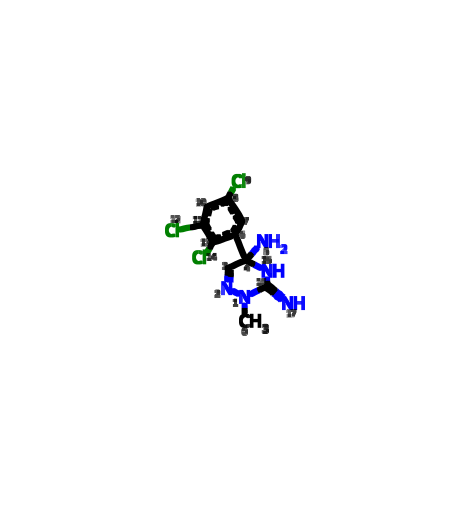 CN1N=CC(N)(c2cc(Cl)cc(Cl)c2Cl)NC1=N